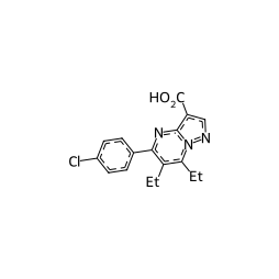 CCc1c(-c2ccc(Cl)cc2)nc2c(C(=O)O)cnn2c1CC